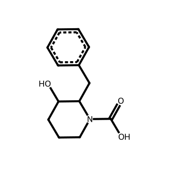 O=C(O)N1CCCC(O)C1Cc1ccccc1